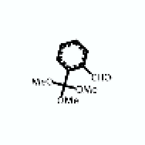 COC(OC)(OC)c1ccccc1[C]=O